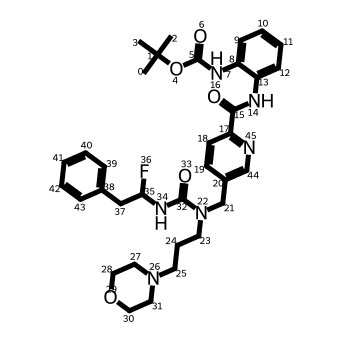 CC(C)(C)OC(=O)Nc1ccccc1NC(=O)c1ccc(CN(CCCN2CCOCC2)C(=O)NC(F)Cc2ccccc2)cn1